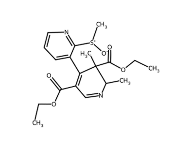 CCOC(=O)C1=C(c2cccnc2[S+](C)[O-])C(C)(C(=O)OCC)C(C)N=C1